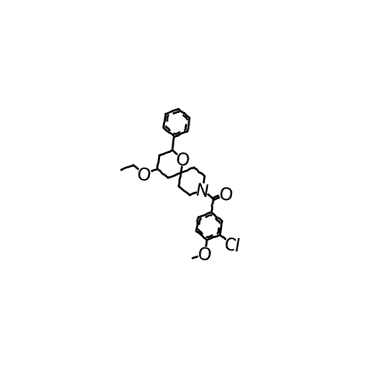 CCOC1CC(c2ccccc2)OC2(CCN(C(=O)c3ccc(OC)c(Cl)c3)CC2)C1